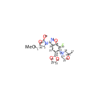 COC[C@H]1CN(c2noc3c(F)c(N4CCO[C@H](C)C4)c(C4OCCO4)cc23)C(=O)O1